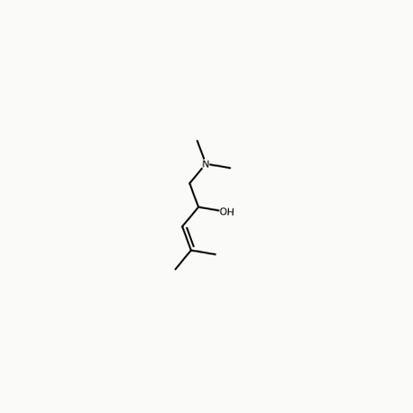 CC(C)=CC(O)CN(C)C